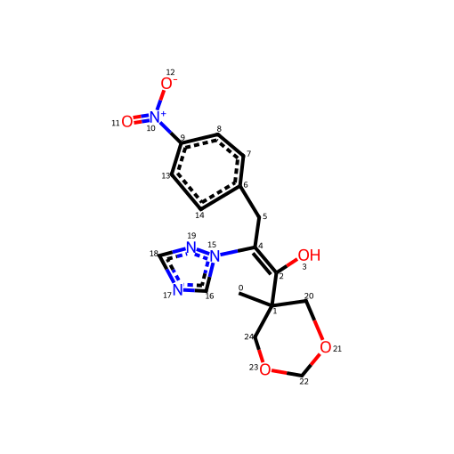 CC1(C(O)=C(Cc2ccc([N+](=O)[O-])cc2)n2cncn2)COCOC1